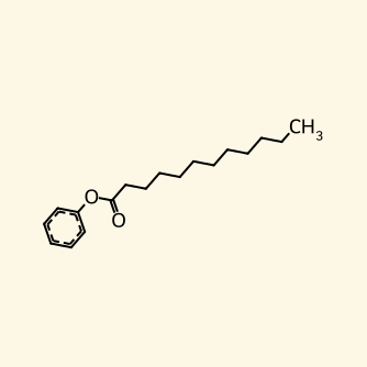 CCCCCCCCCCCC(=O)Oc1ccccc1